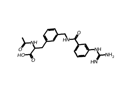 CC(=O)NC(Cc1cccc(CNC(=O)c2cccc(NC(=N)N)c2)c1)C(=O)O